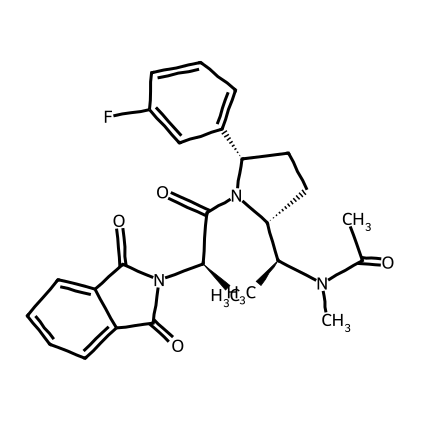 CC(=O)N(C)[C@@H](C)[C@H]1CC[C@@H](c2cccc(F)c2)N1C(=O)[C@@H](C)N1C(=O)c2ccccc2C1=O